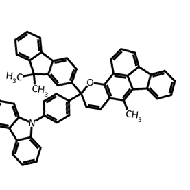 Cc1c2c(c3cccc4c3c1-c1ccccc1-4)OC(c1ccc(-n3c4ccccc4c4ccccc43)cc1)(c1ccc3c(c1)C(C)(C)c1ccccc1-3)C=C2